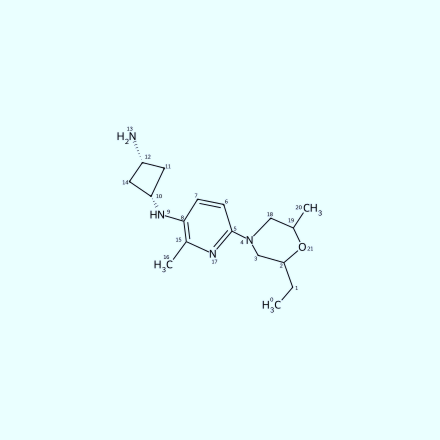 CCC1CN(c2ccc(N[C@H]3C[C@@H](N)C3)c(C)n2)CC(C)O1